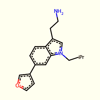 CC(C)Cn1cc(CCN)c2ccc(-c3ccoc3)cc21